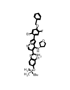 CCc1cc(O[Si](C)(C)C(C)(C)C)ccc1/N=C(\N)c1cnn2cc(-c3cc(F)c(OCc4ccccc4)cc3CC)cc2c1N[C@H]1CCOC1